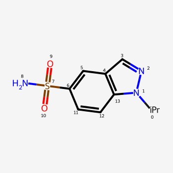 CC(C)n1ncc2cc(S(N)(=O)=O)ccc21